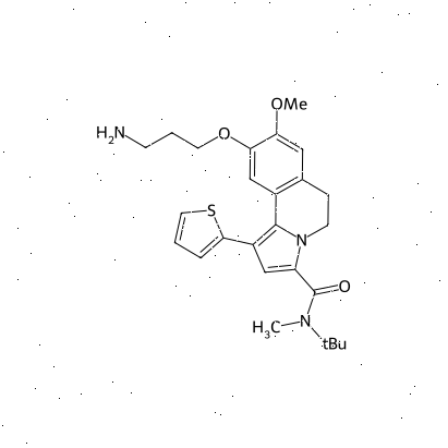 COc1cc2c(cc1OCCCN)-c1c(-c3cccs3)cc(C(=O)N(C)C(C)(C)C)n1CC2